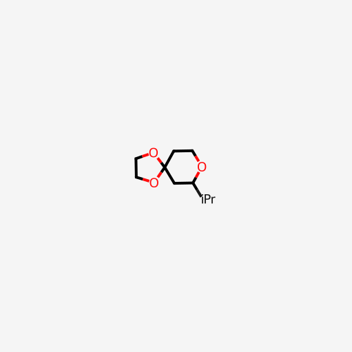 CC(C)C1CC2(CCO1)OCCO2